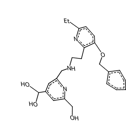 CCc1ccc(OCc2ccccc2)c(CCNCc2cc(C(O)O)cc(CO)n2)n1